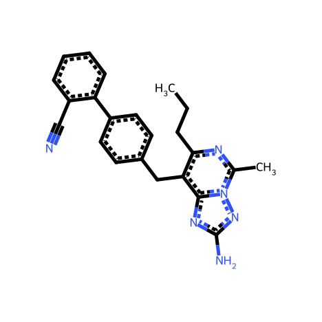 CCCc1nc(C)n2nc(N)nc2c1Cc1ccc(-c2ccccc2C#N)cc1